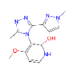 COC1=C(n2c(C)nnc2-c2ccn(C)n2)[C@H](O)NC=C1